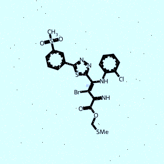 CSCOC(=O)C(=N)/C(Br)=C(\Nc1ccccc1Cl)c1nnc(-c2cccc(S(C)(=O)=O)c2)s1